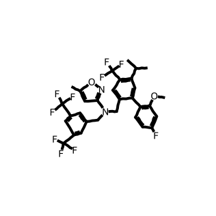 COc1cc(F)ccc1-c1cc(C(C)C)c(C(F)(F)F)cc1CN(Cc1cc(C(F)(F)F)cc(C(F)(F)F)c1)c1cc(C)on1